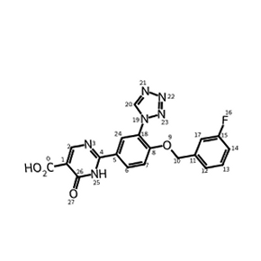 O=C(O)c1cnc(-c2ccc(OCc3cccc(F)c3)c(-n3cnnn3)c2)[nH]c1=O